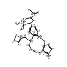 COC(=O)[C@@H](CC(=O)N(C)C)c1ccc2c(c1)N(CC1CCC1)CCCCc1cc(Cl)ccc1CO2